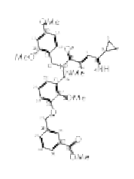 CN/C(=C\C(=N)C1CC1)C(=O)N(Cc1ccc(OC)cc1OC)Cc1cccc(OCc2cccc(C(=O)OC)c2)c1OC